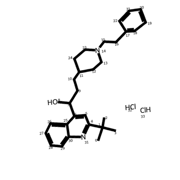 CC(C)(C)c1cc(C(O)CCC2CCN(CCc3ccccc3)CC2)c2ccccc2n1.Cl.Cl